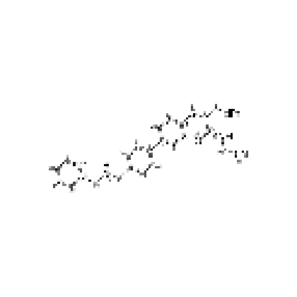 CC(C)CC(Sc1ccc(-c2ccc(CNCc3ccccc3)cc2)cc1)C(=O)NCC#N